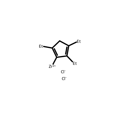 CCC1=[C]([Zr+2])C(CC)=C(CC)C1.[Cl-].[Cl-]